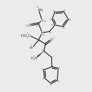 CCOC(=O)C(Br)(C(=O)[C@H](N)Cc1ccccc1)N(Cc1ccccc1)C(=O)OC(C)(C)C